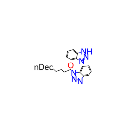 CCCCCCCCCCCCCC(=O)n1nnc2ccccc21.c1ccc2[nH]nnc2c1